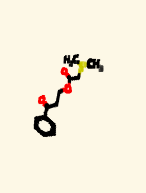 C[S+](C)CC(=O)OCCC(=O)c1ccccc1